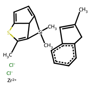 CC1=C2C3C(=CC=C3[Si]2(C)C)S1.CC1=Cc2ccccc2C1.[Cl-].[Cl-].[Zr+2]